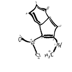 CPC1=[C]([Zr]([Cl])[Cl])C2=CC=CC2=C1